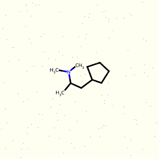 CC(CC1CCCC1)N(C)C